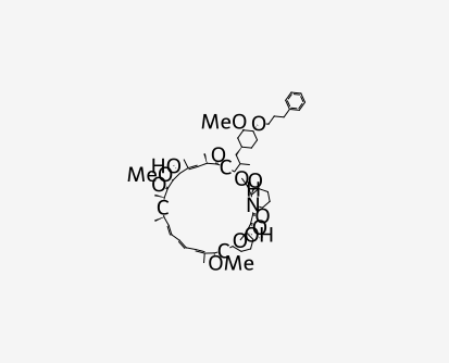 CO[C@H]1CC2CC[C@@H](C)[C@@](O)(O2)C(=O)C(=O)N2CCCC[C@H]2C(=O)OC(C(C)C[C@@H]2CC[C@@H](OCCCc3ccccc3)[C@H](OC)C2)CC(=O)[C@H](C)/C=C(\C)[C@@H](O)[C@@H](OC)C(=O)[C@H](C)C[C@H](C)/C=C/C=C/C=C/1C